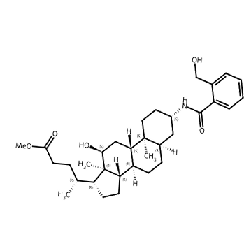 COC(=O)CC[C@@H](C)[C@H]1CC[C@H]2[C@@H]3CC[C@@H]4C[C@@H](NC(=O)c5ccccc5CO)CC[C@]4(C)[C@H]3C[C@H](O)[C@]12C